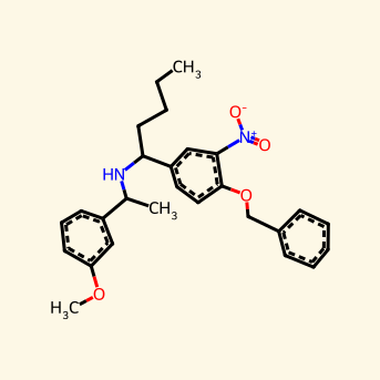 CCCCC(NC(C)c1cccc(OC)c1)c1ccc(OCc2ccccc2)c([N+](=O)[O-])c1